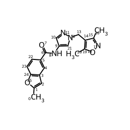 Cc1cc2cc(C(=O)Nc3cnn(Cc4c(C)noc4C)c3)ccc2o1